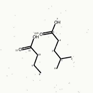 CC(C)CCC(=O)O.CCCC(=O)O